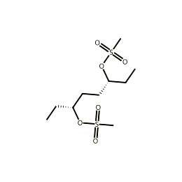 CC[C@H](CC[C@@H](CC)OS(C)(=O)=O)OS(C)(=O)=O